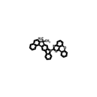 CC1(C)c2cc3c(cc2-c2c1ccc1ccccc21)c1ccccc1n3-c1nc2c3c(cccc3n1)Oc1ccccc1-2